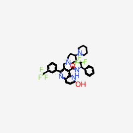 O=C(N[C@H](c1ccccc1)C(F)(F)F)c1c(CN2CCC(N3CCCCC3)CC2)c(-c2cccc(C(F)(F)F)c2)nc2ccc(O)nc12